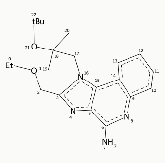 CCOCc1nc2c(N)nc3ccccc3c2n1CC(C)(C)OC(C)(C)C